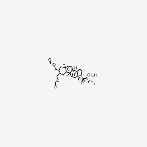 CON(C)C(=O)[C@H]1CC[C@H]2[C@@H]3CC[C@H]4CC(COC=O)C(COC=O)C[C@]4(C)[C@H]3CC[C@]12C